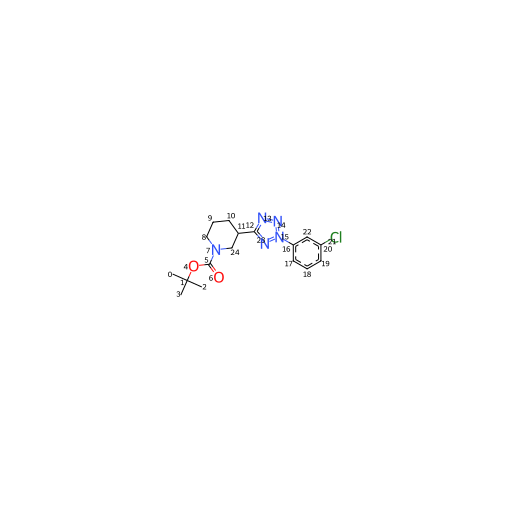 CC(C)(C)OC(=O)N1CCCC(c2nnn(-c3cccc(Cl)c3)n2)C1